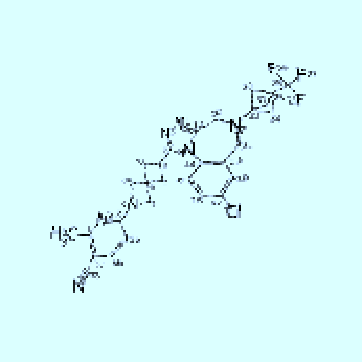 Cc1nc(N2CC3(CC(c4nnc5n4-c4ccc(Cl)cc4CN(C46CC(C(F)(F)F)(C4)C6)C5)C3)C2)ccc1C#N